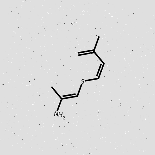 C=C(C)/C=C\S/C=C(\C)N